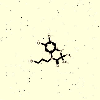 CCCCN1C(=O)C(C)(C)Oc2cc(Cl)c(C)cc21